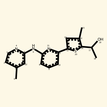 Cc1ccnc(Nc2cccc(-c3cc(C)c(C(C)O)s3)n2)c1